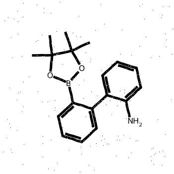 CC1(C)OB(c2ccccc2-c2ccccc2N)OC1(C)C